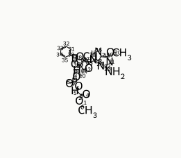 CCOC(=O)CO[PH](=O)OC[C@H]1O[C@@H](n2cnc3c(OC)nc(N)nc32)[C@]2(C)OB(c3ccccc3)O[C@H]12